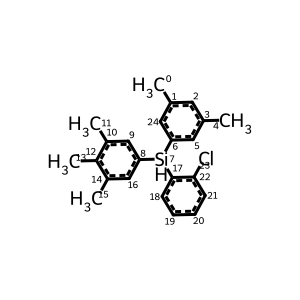 Cc1cc(C)cc([SiH](c2cc(C)c(C)c(C)c2)c2ccccc2Cl)c1